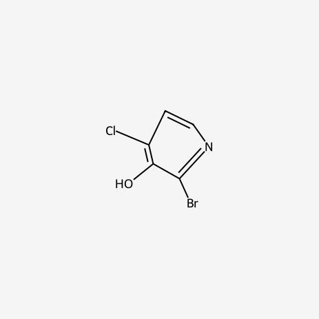 Oc1c(Cl)ccnc1Br